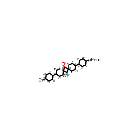 CCCCCC1CCC(C2CC[C@]3(CC2)C(=O)[C@@]2(CCC(C4CCC(CC)CC4)CC2)[C@@H]3F)CC1